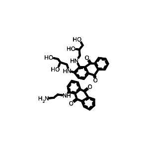 NCCNc1cccc2c1C(=O)c1ccccc1C2=O.O=C1c2ccccc2C(=O)c2c1ccc(NCC(O)CO)c2NCC(O)CO